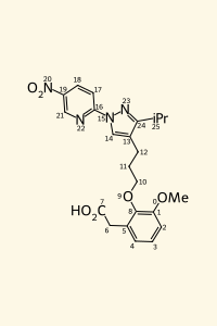 COc1cccc(CC(=O)O)c1OCCCc1cn(-c2ccc([N+](=O)[O-])cn2)nc1C(C)C